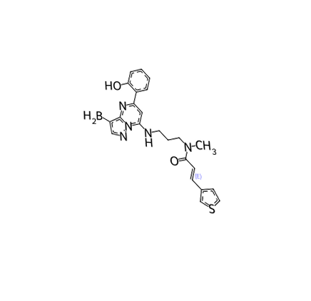 Bc1cnn2c(NCCCN(C)C(=O)/C=C/c3ccsc3)cc(-c3ccccc3O)nc12